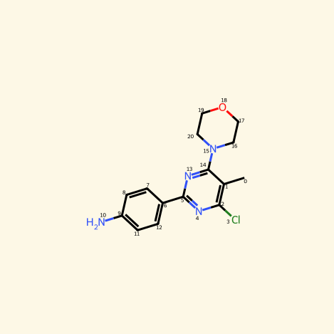 Cc1c(Cl)nc(-c2ccc(N)cc2)nc1N1CCOCC1